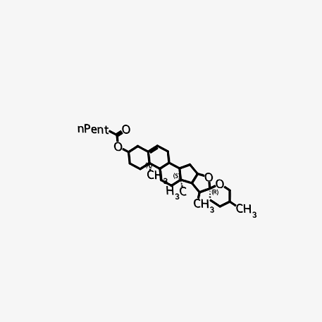 CCCCCC(=O)OC1CC[C@@]2(C)C(=CCC3C4CC5O[C@]6(CCC(C)CO6)C(C)C5[C@@]4(C)CCC32)C1